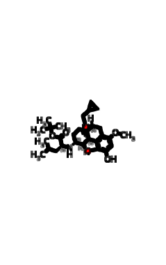 COc1cc(O)c2c3c1C[C@@H]1[C@@H]4CC[C@@H](N[C@@H](CC(C)C)C(=O)OC(C)(C)C)[C@H](O2)[C@]34CCN1CC1CC1